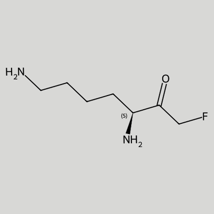 NCCCC[C@H](N)C(=O)CF